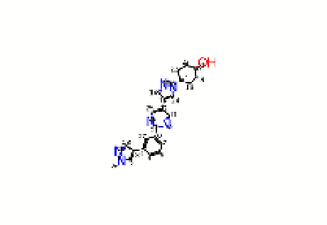 Cn1cc(-c2cccc(-c3ncc(-c4cnn([C@H]5CC[C@H](O)CC5)c4)cn3)c2)cn1